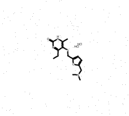 CCc1nc(=O)[nH]c(C)c1SCc1ccc(CN(C)C)o1.Cl.Cl